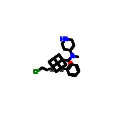 CN(C(=O)C12CC3C[C@]4(CCCl)C[C@@](c5ccccc5)(C1)C324)C1CCNCC1